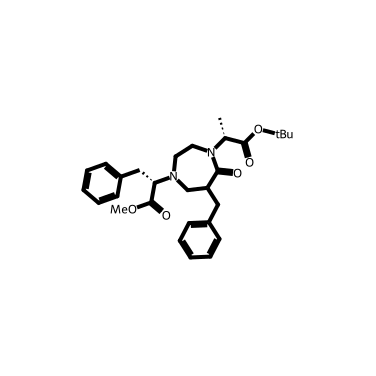 COC(=O)[C@H](Cc1ccccc1)N1CCN([C@H](C)C(=O)OC(C)(C)C)C(=O)C(Cc2ccccc2)C1